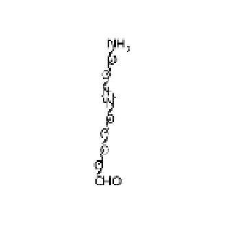 NCCOCCOCCN1CCN(CCOCCOCCOCCOCCC=O)CC1